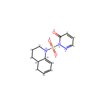 O=c1cccnn1S(=O)(=O)N1CCCC2CC=CC=C21